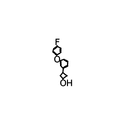 OC1CC(c2cccc(Oc3ccc(F)cc3)c2)C1